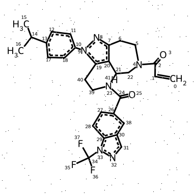 C=CC(=O)N1CCc2nn(-c3ccc(C(C)C)cc3)c3c2[C@@H](C1)N(C(=O)c1ccc2c(cnn2C(F)(F)F)c1)CC3